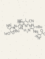 CCCCc1nn(-c2nc(-n3nc(CCCC)c(/N=N/c4c(C(=O)OC)cnn4C)c3N)c(C#N)c(C)c2C#N)c(N)c1/N=N/c1c(C(=O)OC)cnn1C